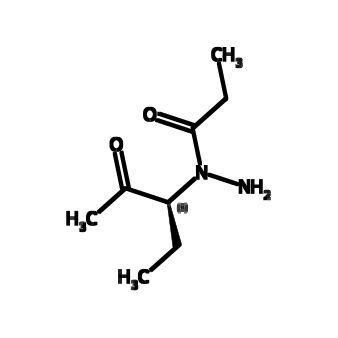 CCC(=O)N(N)[C@@H](CC)C(C)=O